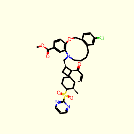 COC(=O)c1ccc2c(c1)N(C[C@@H]1CC[C@@H]1C(=O)/C=C\[C@H]1CCC[C@H](S(=O)(=O)c3ncccn3)[C@@H]1C)CCCCc1cc(Cl)ccc1CO2